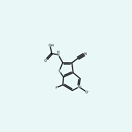 N#Cc1c(NC(=O)O)sc2c(F)c[n+]([O-])cc12